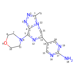 Cc1nnc2c(N3CCOCC3)nc(-c3cnc(N)nc3)cn12